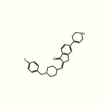 O=C1C(=CC2CCN(Cc3ccc(F)cc3)CC2)Cc2cc(C3=CCNCC3)ccc21